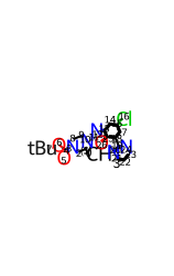 C[C@H]1CN(C(=O)OC(C)(C)C)CCN1c1nc2cc(Cl)cc(-c3ncccn3)c2o1